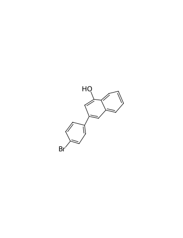 Oc1cc(-c2ccc(Br)cc2)cc2ccccc12